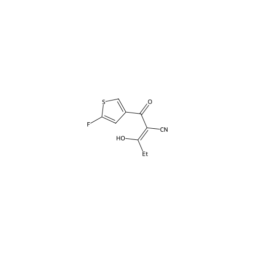 CCC(O)=C(C#N)C(=O)c1csc(F)c1